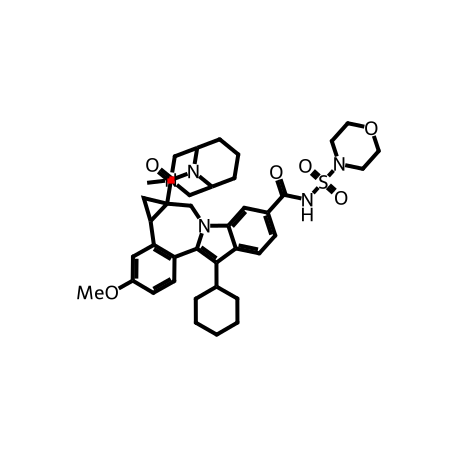 COc1ccc2c(c1)C1CC1(C(=O)N1C3CCCC1CN(C)C3)Cn1c-2c(C2CCCCC2)c2ccc(C(=O)NS(=O)(=O)N3CCOCC3)cc21